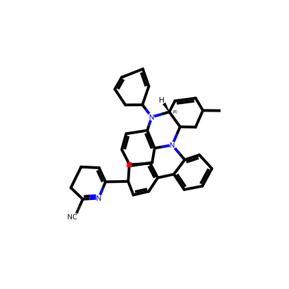 CC1C=C[C@@H]2C(C1)N(c1ccccc1C1=CCC(C3=CCCC(C#N)=N3)C=C1)C1=C(C=CCC1)N2C1C=CC=CC1